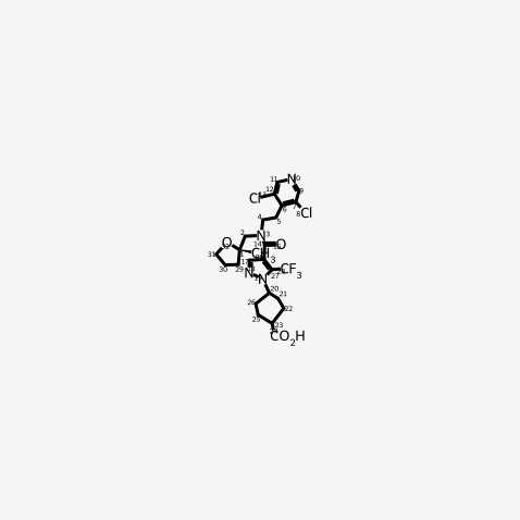 C[C@@]1(CN(CCc2c(Cl)cncc2Cl)C(=O)c2cnn(C3CCC(C(=O)O)CC3)c2C(F)(F)F)CCCO1